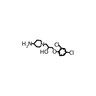 NC1CCN(CC(O)COc2ccc(Cl)cc2Cl)CC1